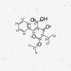 CC(C)OC(=O)C(C(=O)C(=Cc1ccccc1)C(=O)O)C(C)C